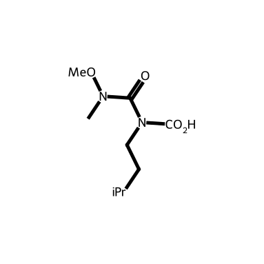 CON(C)C(=O)N(CCC(C)C)C(=O)O